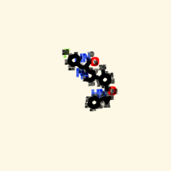 CNC(=O)c1c(-c2ccc(F)cc2)nn2ccc(-c3cc(C(=O)NC4(c5ccccc5)CC4)ccc3C)cc12